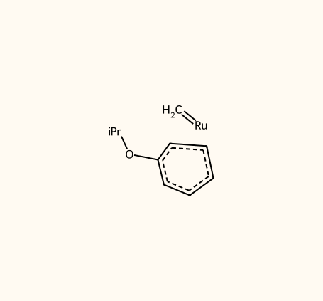 CC(C)Oc1ccccc1.[CH2]=[Ru]